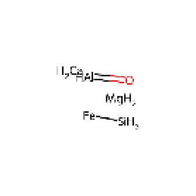 [CaH2].[MgH2].[O]=[AlH].[SiH3][Fe]